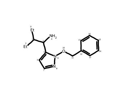 CCC(CC)C(N)c1ccnn1OCc1ccccc1